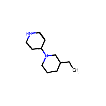 CCC1CCCN(C2CCNCC2)C1